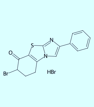 Br.O=C1c2sc3nc(-c4ccccc4)cn3c2CCC1Br